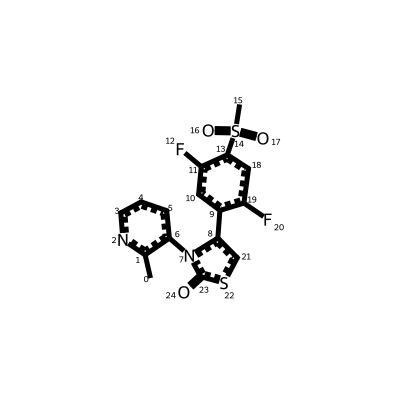 Cc1ncccc1-n1c(-c2cc(F)c(S(C)(=O)=O)cc2F)csc1=O